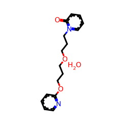 O.O=c1ccccn1CCCOCCCOc1ccccn1